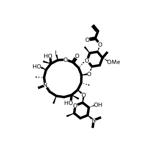 C=CC(=O)O[C@H]1[C@H](C)O[C@@H](O[C@H]2[C@H](C)[C@@H](O[C@@H]3O[C@H](C)C[C@H](N(C)C)[C@H]3O)[C@](C)(O)C[C@@H](C)CN(C)[C@H](C)[C@@H](O)[C@](C)(O)[C@@H](I)OC(=O)[C@@H]2C)C[C@@]1(C)OC